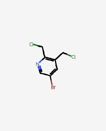 ClCc1cc(Br)cnc1CCl